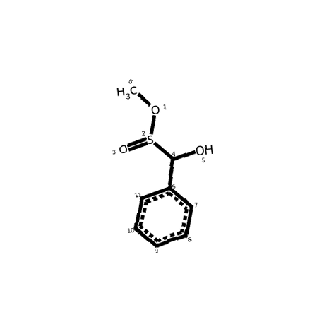 COS(=O)C(O)c1ccccc1